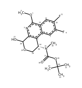 COc1nc2c(c3cc(F)c(F)cc13)[C@H](N(C)C(=O)OC(C)(C)C)COC2O